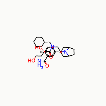 NC(=O)c1cccc(C2CC3CCC(C2)N3CCN(CC2CCCCC2)C(=O)[C@@H](O)CCO)c1